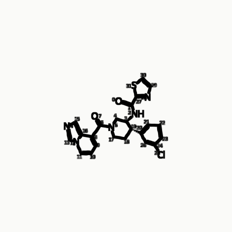 O=C(N[C@@H]1CN(C(=O)c2cccn3cncc23)CC[C@H]1c1cccc(Cl)c1)c1nccs1